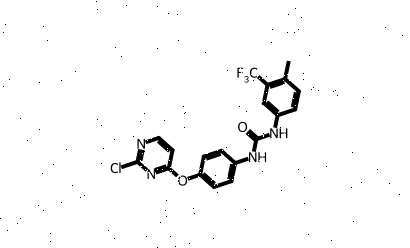 Cc1ccc(NC(=O)Nc2ccc(Oc3ccnc(Cl)n3)cc2)cc1C(F)(F)F